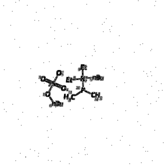 CCCCOS(=O)(=O)[O-].CCCC[N+](CC)(CC)P(C)C